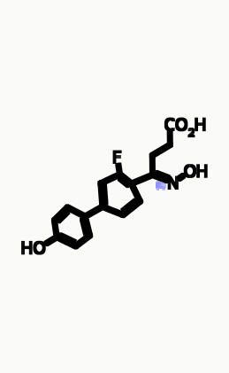 O=C(O)CC/C(=N\O)c1ccc(-c2ccc(O)cc2)cc1F